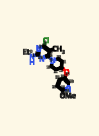 CCNc1nc(Cl)c(C)c(N2CCC(Oc3ccc(OC)nc3)CC2)n1